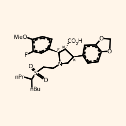 CCCCC(CCC)S(=O)(=O)CCN1C[C@H](c2ccc3c(c2)OCO3)[C@@H](C(=O)O)[C@@H]1c1ccc(OC)c(F)c1